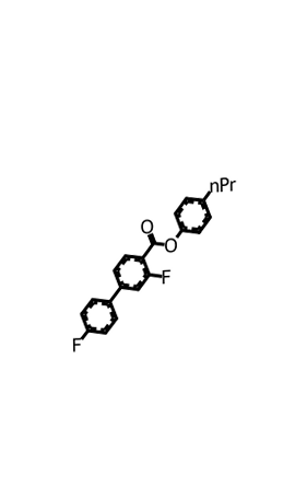 CCCc1ccc(OC(=O)c2ccc(-c3ccc(F)cc3)cc2F)cc1